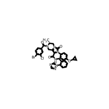 C[C@@H]1Cn2c(c(C(=O)NCc3ccccc3-n3cncn3)n(-c3ccc(OC4CC4)cc3)c2=O)CN1C(=O)c1ccc(Br)c(Cl)c1